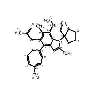 C=CC1(n2c(C)cc3c(C4=CC=C(C)C=CC4)c(CC(C)=O)c(C)c(NC)c32)CCCC1